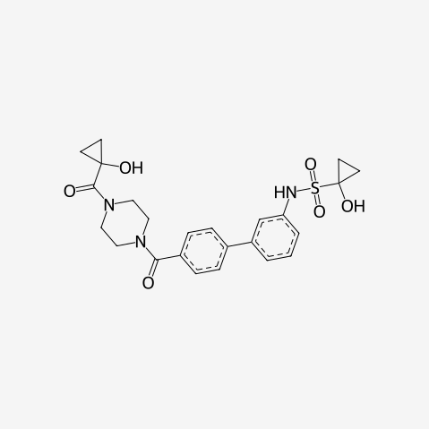 O=C(c1ccc(-c2cccc(NS(=O)(=O)C3(O)CC3)c2)cc1)N1CCN(C(=O)C2(O)CC2)CC1